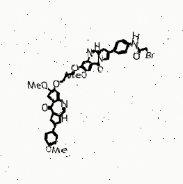 COc1ccc(C2=CC3C(=O)c4cc(OC)c(OCCCOc5cc6c(cc5OC)C(=O)N5C=C(c7ccc(NC(=O)CBr)cc7)C[C@H]5C=N6)cc4N=C[C@@H]3C2)cc1